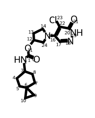 O=C(NC1CCC2(CC1)CC2)OC1CCN(c2cn[nH]c(=O)c2Cl)C1